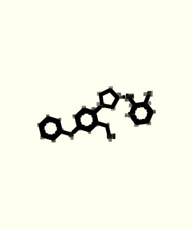 OCc1cc(Oc2ccccc2)ccc1N1CC[C@H](Nc2ncccc2Cl)C1